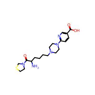 NC(CCCCN1CCN(c2ccc(C(=O)O)cn2)CC1)C(=O)N1CCSC1